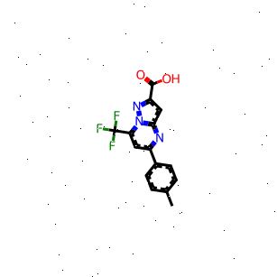 Cc1ccc(-c2cc(C(F)(F)F)n3nc(C(=O)O)cc3n2)cc1